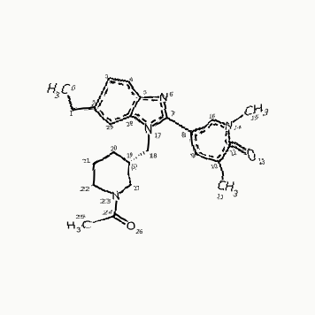 CCc1ccc2nc(-c3cc(C)c(=O)n(C)c3)n(C[C@H]3CCCN(C(C)=O)C3)c2c1